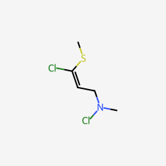 CS/C(Cl)=C\CN(C)Cl